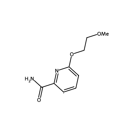 COCCOc1cc[c]c(C(N)=O)n1